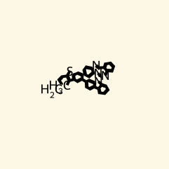 C=C/C=C\c1sc2ccc(-c3ccc4c5ccccc5n(-c5nc6ccccc6c6nc7ccccc7n56)c4c3)cc2c1C